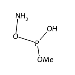 COP(O)ON